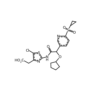 O=C(O)Cc1nc(NC(=O)C(OC2CCCC2)c2ccc(S(=O)(=O)C3CC3)nc2)sc1Cl